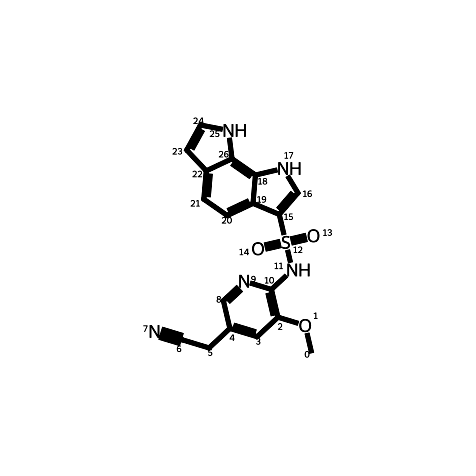 COc1cc(CC#N)cnc1NS(=O)(=O)c1c[nH]c2c1ccc1cc[nH]c12